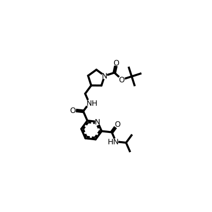 CC(C)NC(=O)c1cccc(C(=O)NCC2CCN(C(=O)OC(C)(C)C)C2)n1